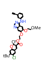 C#Cc1cccc(Nc2ncnc3cc(OCCOC(=O)C4=Cc5cc(Cl)c(C(C)(C)C)cc5OC4C(F)(F)F)c(OCCOC)cc23)c1